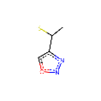 CC([S])c1conn1